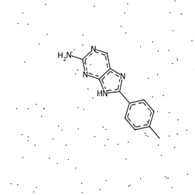 Cc1ccc(-c2nc3cnc(N)nc3[nH]2)cc1